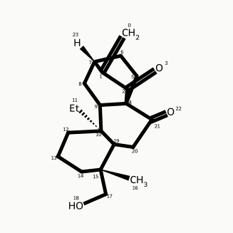 C=C1C(=O)C23CC[C@H]1CC2[C@]1(CC)CCC[C@@](C)(CO)C1CC3=O